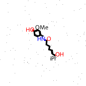 COc1cc(CNC(=O)CCC/C=C/[C@@H](O)C(C)C)ccc1O